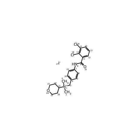 C[N+](C)(Cc1ccc(NC(=O)c2cccc(Cl)c2Cl)cc1)C1CCOCC1.[I-]